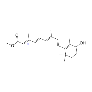 COC(=O)/C=C(\C)C=CC=C(C)C=CC1=C(C)C(O)CCC1(C)C